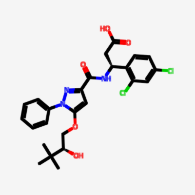 CC(C)(C)[C@H](O)COc1cc(C(=O)N[C@@H](CC(=O)O)c2ccc(Cl)cc2Cl)nn1-c1ccccc1